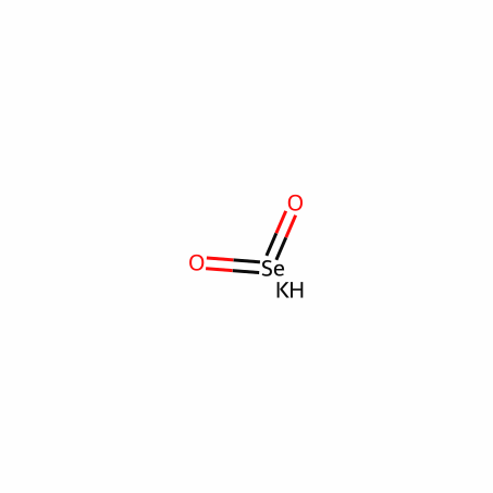 O=[Se]=O.[KH]